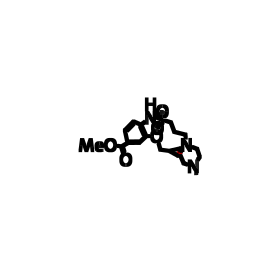 COC(=O)c1ccc(NS(=O)(=O)CCCN2CCN(C)CC2)c(OCC2CC2)c1